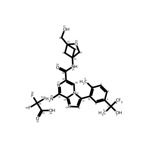 Cc1ccc(C(C)(O)C(F)(F)F)cc1-c1cnc2c(N)nc(C(=O)NC34COC(CO)(C3)C4)cn12.O=C(O)C(F)(F)F